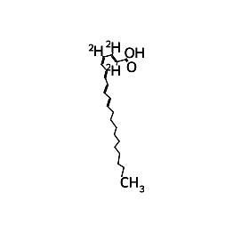 [2H]C(=CC=CC=CC=CCCCCCCCCCCC)C([2H])=C([2H])C(=O)O